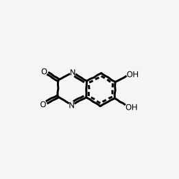 O=C1N=c2cc(O)c(O)cc2=NC1=O